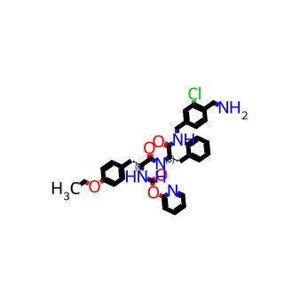 CCOc1ccc(C[C@@H](NC(=O)Oc2ccccn2)C(=O)N[C@@H](Cc2ccccc2)C(=O)NCc2ccc(CN)c(Cl)c2)cc1